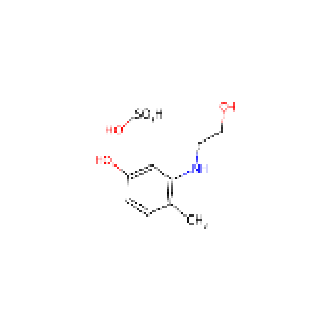 Cc1ccc(O)cc1NCCO.O=S(=O)(O)O